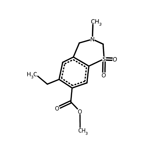 CCc1cc2c(cc1C(=O)OC)S(=O)(=O)CN(C)C2